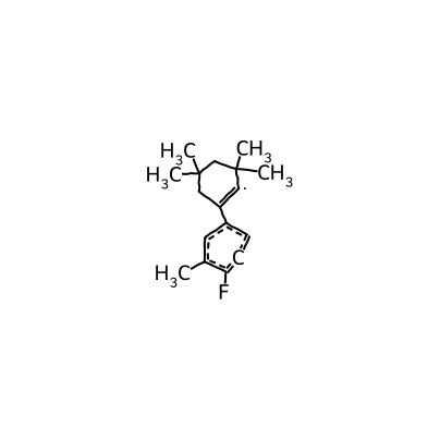 Cc1cc(C2=[C]C(C)(C)CC(C)(C)C2)ccc1F